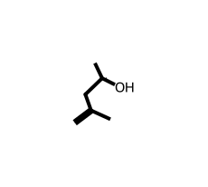 C=C(C)C[C](C)O